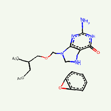 CC(=O)OCC(COCN1CNc2c1nc(N)[nH]c2=O)OC(C)=O.c1ccc2c(c1)O2